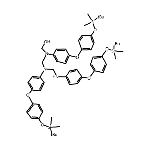 CC(C)(C)[Si](C)(C)Oc1ccc(Oc2ccc(NCN(CN(CO)c3ccc(Oc4ccc(O[Si](C)(C)C(C)(C)C)cc4)cc3)c3ccc(Oc4ccc(O[Si](C)(C)C(C)(C)C)cc4)cc3)cc2)cc1